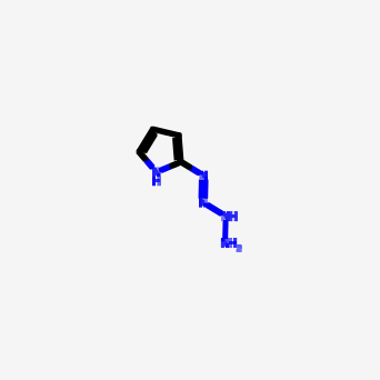 NNN=Nc1ccc[nH]1